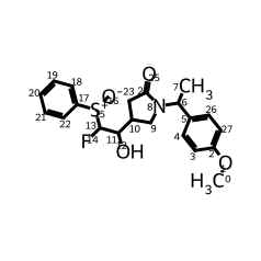 COc1ccc(C(C)N2CC(C(O)C(F)[S+]([O-])c3ccccc3)CC2=O)cc1